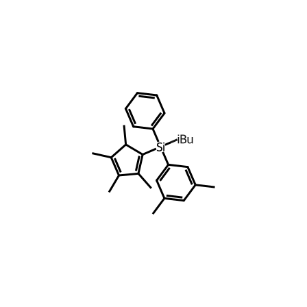 CCC(C)[Si](C1=C(C)C(C)=C(C)C1C)(c1ccccc1)c1cc(C)cc(C)c1